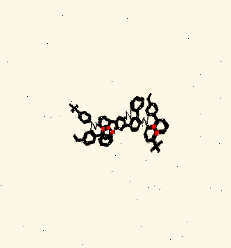 CCc1ccc(-c2ccccc2)c(N(c2ccc(C(C)(C)C)cc2)c2ccc3c4cc5c(cc4n4c6ccccc6c2c34)c2ccc(N(c3ccc(C(C)(C)C)cc3)c3cc(CC)ccc3-c3ccccc3)c3c4ccccc4n5c23)c1